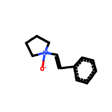 [O-][N+]1(C=Cc2ccccc2)CCCC1